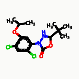 CC(C)Oc1cc(N2NC(C(C)(C)C)OC2=O)c(Cl)cc1Cl